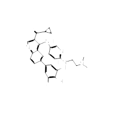 CN(C)CCNc1ccc(Nc2c(C(=O)C3CC3)cnc3ccc(-c4cc(Cl)c(O)c(Cl)c4)cc23)cn1